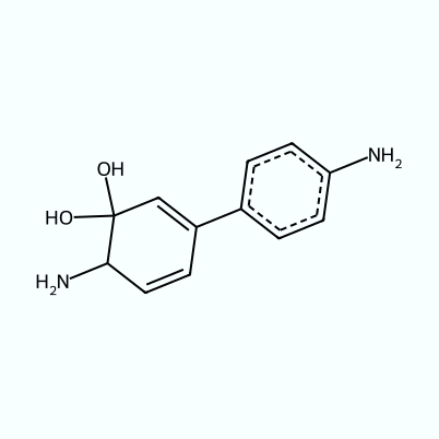 Nc1ccc(C2=CC(O)(O)C(N)C=C2)cc1